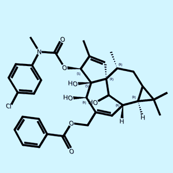 CC1=C[C@]23C(O)[C@@H](C=C(COC(=O)c4ccccc4)[C@@H](O)[C@]2(O)[C@H]1OC(=O)N(C)c1ccc(Cl)cc1)[C@H]1C(C[C@H]3C)C1(C)C